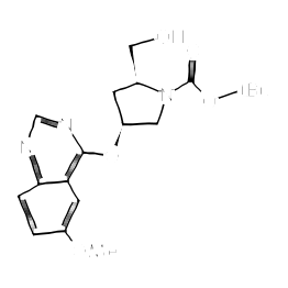 COc1ccc2ncnc(O[C@H]3C[C@@H](CO)N(C(=O)OC(C)(C)C)C3)c2c1